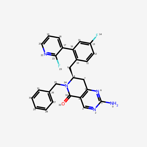 Nc1ncc2c(n1)C[C@H](Cc1ccc(F)cc1-c1cccnc1F)N(Cc1ccccc1)C2=O